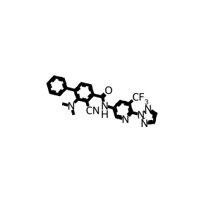 CN(C)c1c(-c2ccccc2)ccc(C(=O)Nc2cnc(-n3nccn3)c(C(F)(F)F)c2)c1C#N